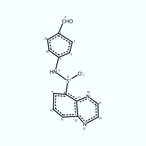 O=Cc1ccc(N[S+]([O-])c2cccc3nccnc23)cc1